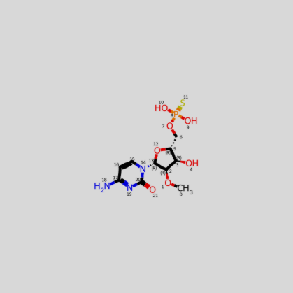 CO[C@@H]1[C@H](O)[C@@H](COP(O)(O)=S)O[C@H]1n1ccc(N)nc1=O